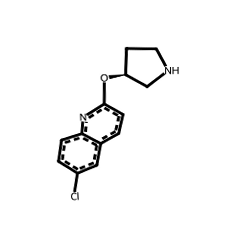 Clc1ccc2nc(O[C@H]3CCNC3)ccc2c1